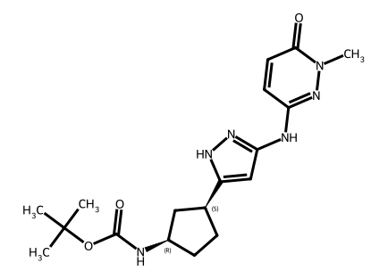 Cn1nc(Nc2cc([C@H]3CC[C@@H](NC(=O)OC(C)(C)C)C3)[nH]n2)ccc1=O